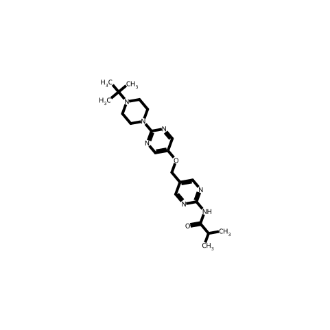 CC(C)C(=O)Nc1ncc(COc2cnc(N3CCN(C(C)(C)C)CC3)nc2)cn1